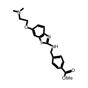 COC(=O)c1ccc(CNc2nc3ccc(OCCN(C)C)cc3s2)cc1